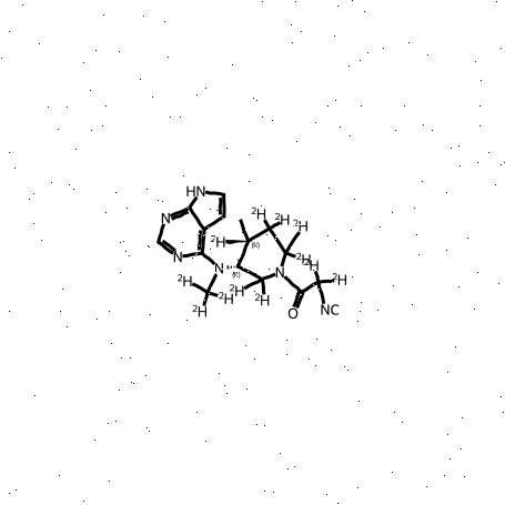 [2H]C([2H])([N+]#[C-])C(=O)N1C([2H])([2H])[C@H](N(c2ncnc3[nH]ccc23)C([2H])([2H])[2H])[C@]([2H])(C)C([2H])([2H])C1([2H])[2H]